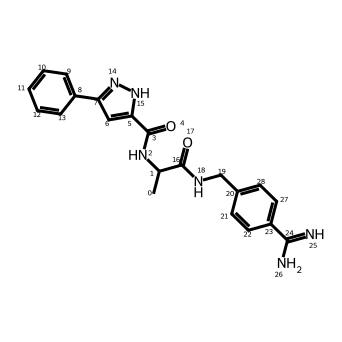 CC(NC(=O)c1cc(-c2ccccc2)n[nH]1)C(=O)NCc1ccc(C(=N)N)cc1